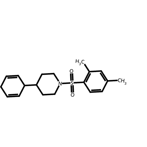 Cc1ccc(S(=O)(=O)N2CCC(C3C=CCC=C3)CC2)c(C)c1